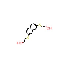 OCCSc1ccc2ccc(SCCO)cc2c1